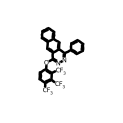 FC(F)(F)c1ccc(Oc2nnc(-c3ccccc3)c3cc4ccccc4cc23)c(C(F)(F)F)c1C(F)(F)F